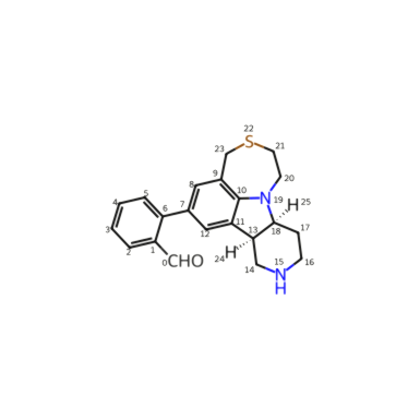 O=Cc1ccccc1-c1cc2c3c(c1)[C@@H]1CNCC[C@@H]1N3CCSC2